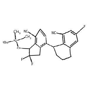 CC(C)(C)[Si](C)(C)OC1c2c(C#N)ccc(C3CCCc4cc(F)cc(C#N)c43)c2CC1(F)F